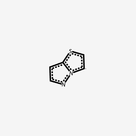 [c]1csc2ccnn12